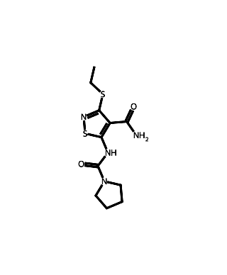 CCSc1nsc(NC(=O)N2CCCC2)c1C(N)=O